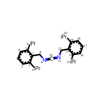 CC(C)c1cccc(C(C)C)c1CN=C=NCc1c(C(C)C)cccc1C(C)C